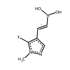 Cn1ncc(/C=C/N(O)O)c1F